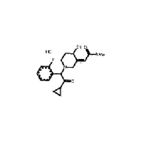 CNC(=O)/C=C1/CN(C(C(=O)C2CC2)c2ccccc2F)CCC1S.Cl